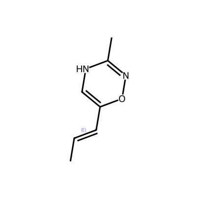 C/C=C/C1=CNC(C)=NO1